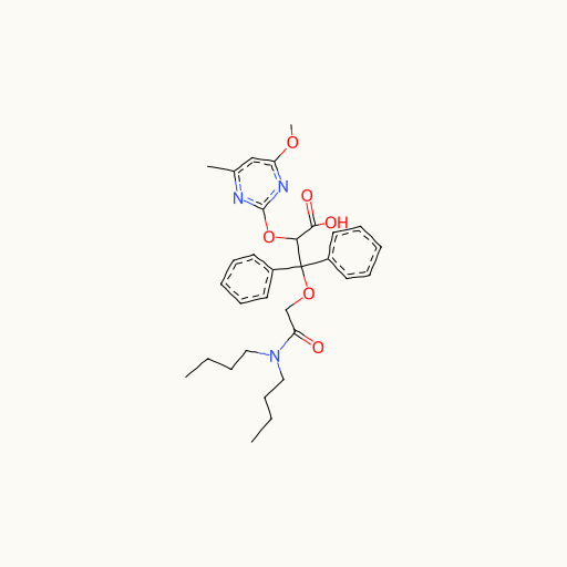 CCCCN(CCCC)C(=O)COC(c1ccccc1)(c1ccccc1)C(Oc1nc(C)cc(OC)n1)C(=O)O